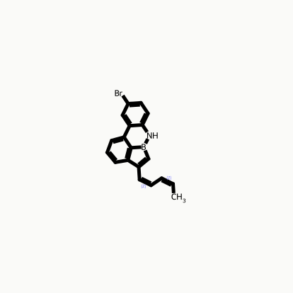 C/C=C\C=C/C1=CB2Nc3ccc(Br)cc3-c3cccc1c32